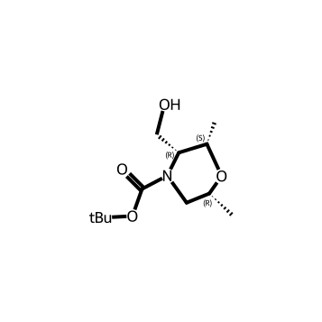 C[C@@H]1CN(C(=O)OC(C)(C)C)[C@H](CO)[C@H](C)O1